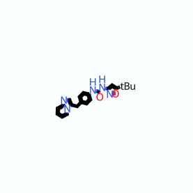 CC(C)(C)c1cc(NC(=O)Nc2ccc(Cc3cnc4ccccn34)cc2)no1